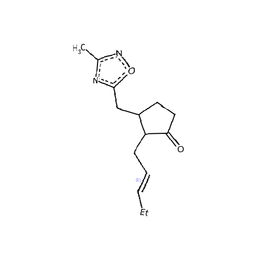 CC/C=C/CC1C(=O)CCC1Cc1nc(C)no1